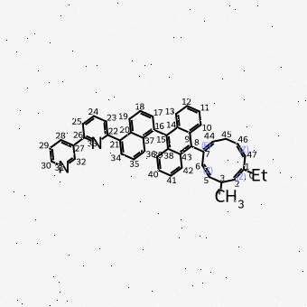 CCC1=C/C(C)/C=C\C(c2c3ccccc3c(-c3cccc4c(-c5cccc(-c6cccnc6)n5)cccc34)c3ccccc23)=C/C/C=C\1